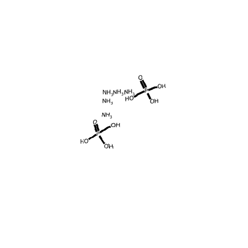 N.N.N.N.N.O=P(O)(O)O.O=P(O)(O)O